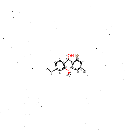 CCc1ccc(C(O)c2ccc(C)cc2Br)c(OC)c1